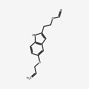 C=CCOc1ccc2[nH]c(CCOC=O)cc2c1